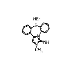 Br.Cn1cc2n(c1=N)-c1ccccc1Sc1ccccc1-2